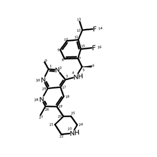 Cc1nc(N[C@H](C)c2cccc(C(C)F)c2F)c2cc(C3CCNCC3)c(C)nc2n1